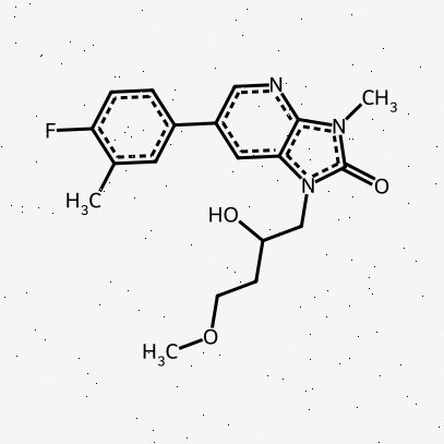 COCCC(O)Cn1c(=O)n(C)c2ncc(-c3ccc(F)c(C)c3)cc21